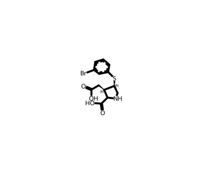 O=C(O)C[C@@H]1C(C(=O)O)NC[C@@H]1Sc1cccc(Br)c1